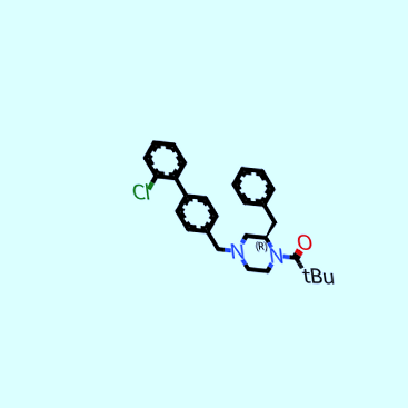 CC(C)(C)C(=O)N1CCN(Cc2ccc(-c3ccccc3Cl)cc2)C[C@H]1Cc1ccccc1